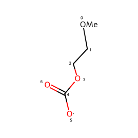 COCCOC([O])=O